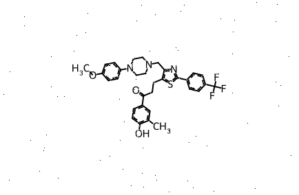 COc1ccc(N2CCN(Cc3nc(-c4ccc(C(F)(F)F)cc4)sc3CCC(=O)c3ccc(O)c(C)c3)CC2)cc1